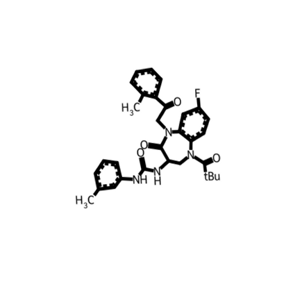 Cc1cccc(NC(=O)NC2CN(C(=O)C(C)(C)C)c3ccc(F)cc3N(CC(=O)c3ccccc3C)C2=O)c1